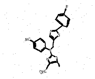 Cc1sc(N(Cc2cnc(-c3ccc(F)cc3)s2)c2ccc(C#N)cc2)nc1C=O